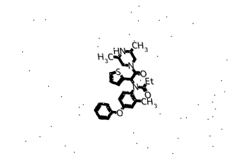 CCC(=O)N(c1ccc(Oc2ccccc2)cc1C)C(C(=O)N1CC(C)NC(C)C1)c1cccs1